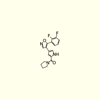 O=C(c1cc(-c2cnoc2-c2cccc(F)c2F)c[nH]1)N1CCCC1